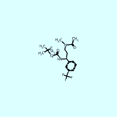 CC(=O)N(C)CCC(NC(=O)OC(C)(C)C)c1cccc(C(F)(F)F)c1